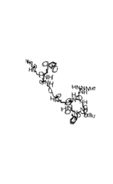 CNC(=N)NCCC[C@@H]1NC(=O)[C@H](CCCCNC(=O)CCOCCNC(=O)[C@H](CCCCNC(=O)CN=[N+]=[N-])NC(=O)CCN2C(=O)C=CC2=O)NC(=O)[C@@H](Cc2ccccc2)NC(=O)[C@H](CC(=O)OC(C)(C)C)NC(=O)CNC1=O